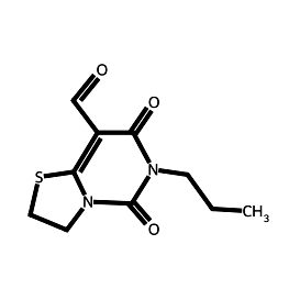 CCCn1c(=O)c(C=O)c2n(c1=O)CCS2